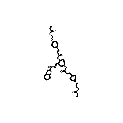 C=CC(=O)OCOc1ccc(/C=C/C(=O)Oc2ccc(OC(=O)/C=C/c3ccc(OCOC(=O)C=C)cc3)c(/C=N/Nc3nc4ccccc4s3)c2)cc1